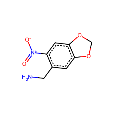 NCc1cc2c(cc1[N+](=O)[O-])OCO2